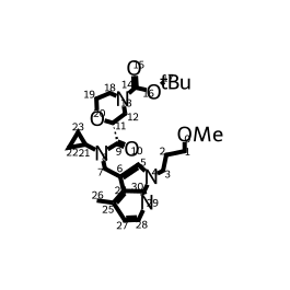 COCCCn1cc(CN(C(=O)[C@H]2CN(C(=O)OC(C)(C)C)CCO2)C2CC2)c2c(C)ccnc21